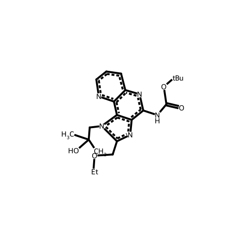 CCOCc1nc2c(NC(=O)OC(C)(C)C)nc3cccnc3c2n1CC(C)(C)O